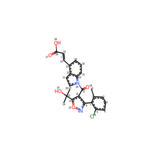 Cc1cccc(Cl)c1-c1noc(C(C)(C)O)c1C(=O)n1ccc2c(/C=C/C(=O)O)cccc21